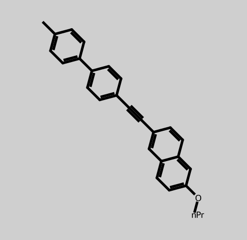 CCCOc1ccc2cc(C#Cc3ccc(-c4ccc(C)cc4)cc3)ccc2c1